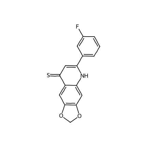 Fc1cccc(-c2cc(=S)c3cc4c(cc3[nH]2)OCO4)c1